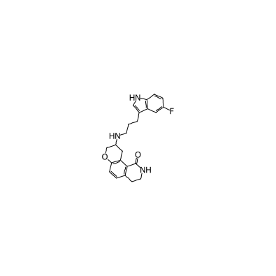 O=C1NCCc2ccc3c(c21)CC(NCCCc1c[nH]c2ccc(F)cc12)CO3